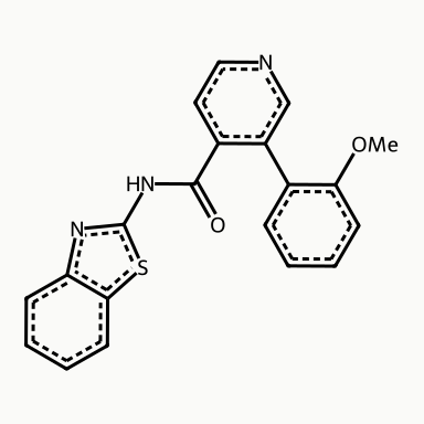 COc1ccccc1-c1cnccc1C(=O)Nc1nc2ccccc2s1